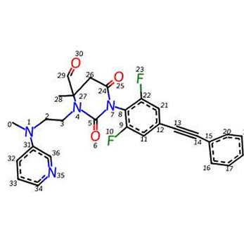 CN(CCN1C(=O)N(c2c(F)cc(C#Cc3ccccc3)cc2F)C(=O)CC1(C)C=O)c1cccnc1